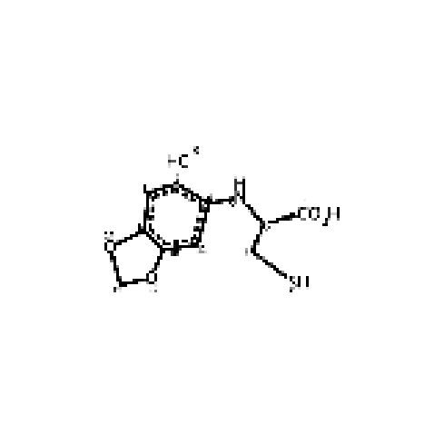 Cl.O=C(O)[C@@H](CS)Nc1ccc2c(c1)OCO2